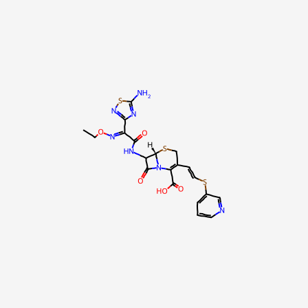 CCON=C(C(=O)NC1C(=O)N2C(C(=O)O)=C(C=CSc3cccnc3)CS[C@@H]12)c1nsc(N)n1